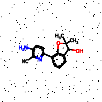 CC1(C)Oc2c(-c3ccc(N)c(C#N)n3)cccc2C1O